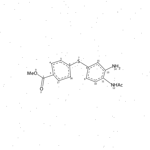 COC(=O)c1ccc(Sc2ccc(NC(C)=O)c(N)c2)cc1